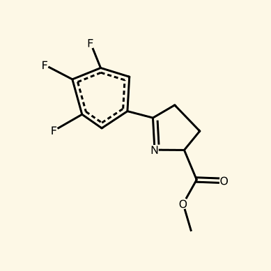 COC(=O)C1CCC(c2cc(F)c(F)c(F)c2)=N1